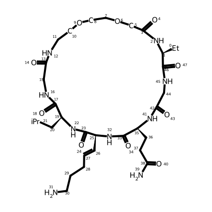 CC[C@@H]1NC(=O)COCCOCCNC(=O)CNC(=O)[C@H](CC(C)C)NC(=O)[C@H](/C=C/CCCN)NC(=O)[C@H](CCC(N)=O)NC(=O)CNC1=O